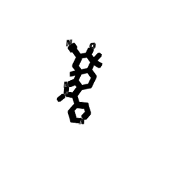 Cn1nc2c(c1-c1ccncc1)CCC1C(C)(C)C(=O)C(C#N)=CC21C